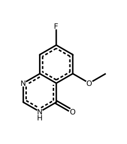 COc1cc(F)cc2nc[nH]c(=O)c12